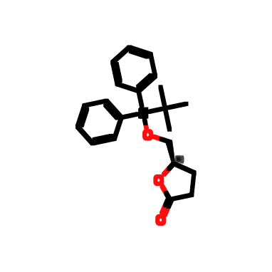 CC(C)(C)[Si](OC[C@H]1CCC(=O)O1)(c1ccccc1)c1ccccc1